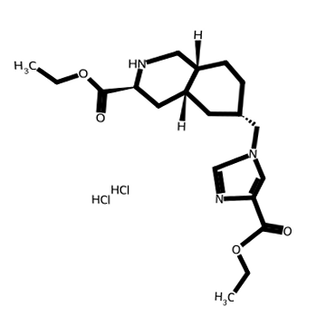 CCOC(=O)c1cn(C[C@H]2CC[C@H]3CN[C@H](C(=O)OCC)C[C@H]3C2)cn1.Cl.Cl